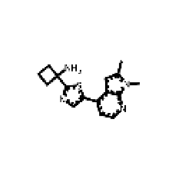 Cc1cc2c(-c3cnc(C4(N)CCC4)s3)ccnc2n1C